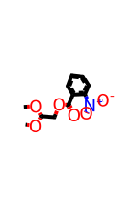 COC(COC(=O)c1ccccc1[N+](=O)[O-])OC